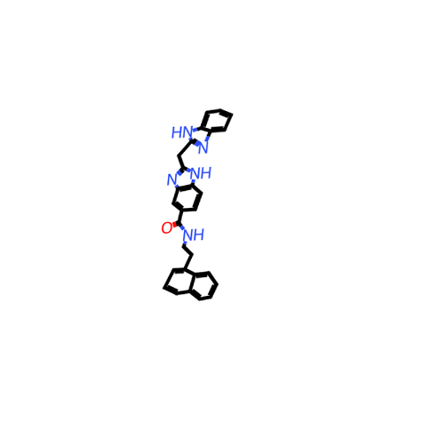 O=C(NCCc1cccc2ccccc12)c1ccc2[nH]c(Cc3nc4ccccc4[nH]3)nc2c1